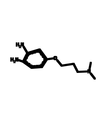 CN(C)CCCOc1ccc(N)c(N)c1